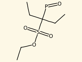 CCOS(=O)(=O)C(CC)(CC)P=O